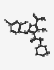 CC(=O)c1sc(Nc2ccc(I)cc2F)c(C(=O)N[C@@H]2CCCNC2)c1C